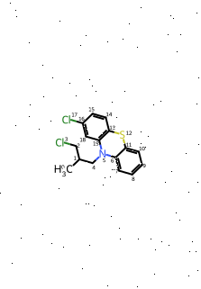 CC(CCl)CN1c2ccccc2Sc2ccc(Cl)cc21